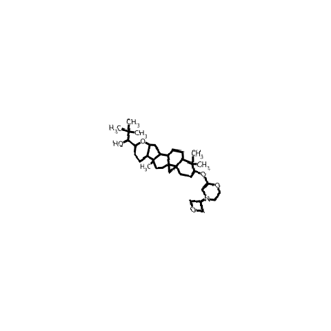 CC(C)(C)C(O)C1CCC2C(CC3C4CCC5C(C)(C)C(OC6CN(C7COC7)CCO6)CCC56CC46CCC23C)O1